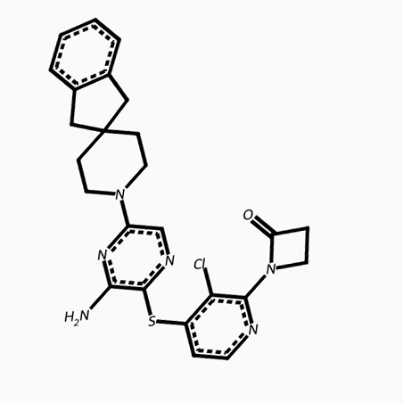 Nc1nc(N2CCC3(CC2)Cc2ccccc2C3)cnc1Sc1ccnc(N2CCC2=O)c1Cl